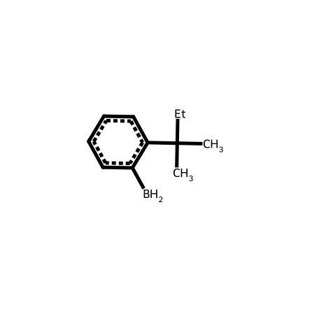 Bc1ccccc1C(C)(C)CC